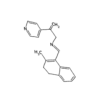 C=C(C/N=C/C1=C(C)CCc2ccccc21)c1ccncc1